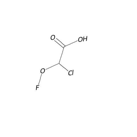 O=C(O)C(Cl)OF